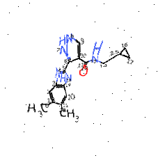 Cc1cc2nc(-c3n[nH]cc3C(=O)NCC3CC3)[nH]c2cc1C